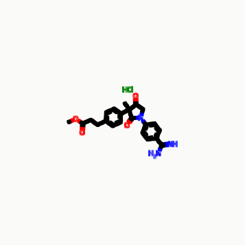 COC(=O)CCc1ccc(C2(C)C(=O)CN(c3ccc(C(=N)N)cc3)C2=O)cc1.Cl